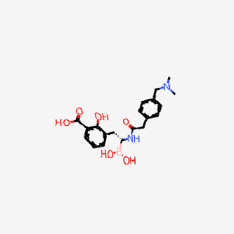 CN(C)Cc1ccc(CC(=O)N[C@@H](Cc2cccc(C(=O)O)c2O)B(O)O)cc1